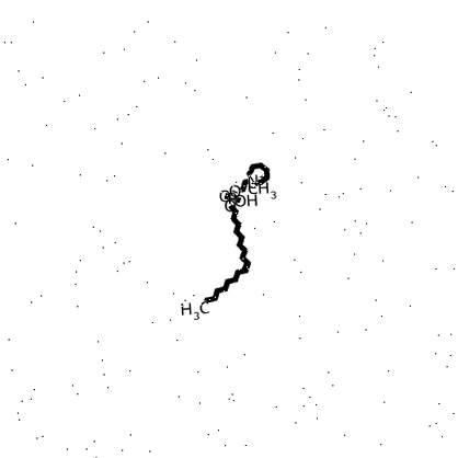 CCCCCCCC/C=C\CCCCCCCCOP(=O)(O)OCC[N+]1(C)CCCCCC1